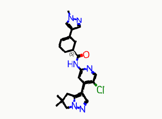 Cn1cc(C2=CCC[C@H](C(=O)Nc3cc(-c4cnn5c4CC(C)(C)C5)c(Cl)cn3)C2)cn1